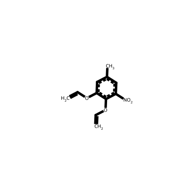 C=COc1cc(C)cc([N+](=O)[O-])c1OC=C